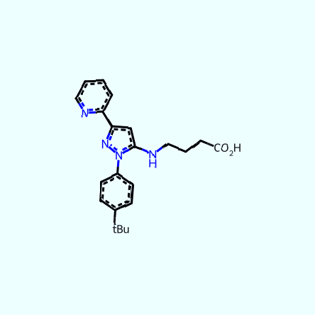 CC(C)(C)c1ccc(-n2nc(-c3ccccn3)cc2NCCCC(=O)O)cc1